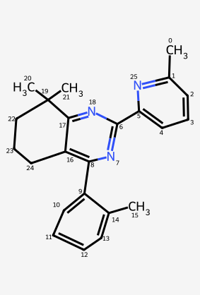 Cc1cccc(-c2nc(-c3ccccc3C)c3c(n2)C(C)(C)CCC3)n1